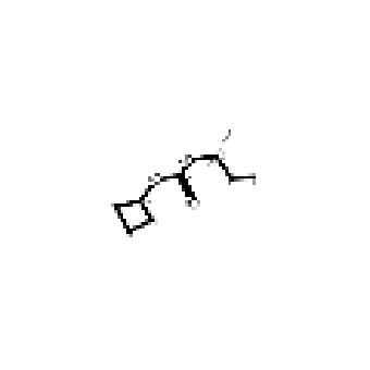 C[CH][C@@H](C)OC(=O)OC1CCC1